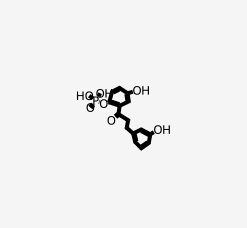 O=C(CCc1cccc(O)c1)c1cc(O)ccc1OP(=O)(O)O